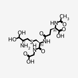 CC(=O)N[C@H](CCC(=O)N[C@H](CSC[C@H](N)C(O)O)C(=O)NCC(=O)O)C(=O)O